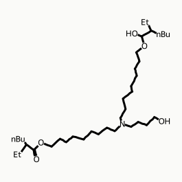 CCCCC(CC)C(=O)OCCCCCCCCCN(CCCCO)CCCCCCCCCOC(O)C(CC)CCCC